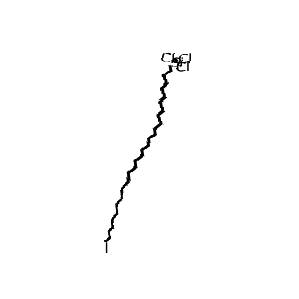 Cl[Si](Cl)(Cl)CCCCCCCCCCCCCCCCCCCCCCCCCCCCCI